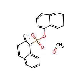 C=C1C=Cc2ccccc2C1S(=O)(=O)Oc1cccc2ccccc12.C=O